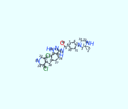 CC1(C)CN(c2ccc(C(=O)Nc3n[nH]c4cc(Cc5c(Cl)cncc5Cl)ccc34)cc2)CCN1